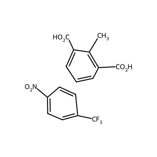 Cc1c(C(=O)O)cccc1C(=O)O.O=[N+]([O-])c1ccc(C(F)(F)F)cc1